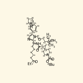 CCC(=O)CCCCC[C@H](NC(=O)[C@H]1CC12CCN(C(=O)OC(C)(C)C)CC2)c1ncc(-c2ccc3c(c2)C2CCC3N2)n1COCC[Si](C)(C)C